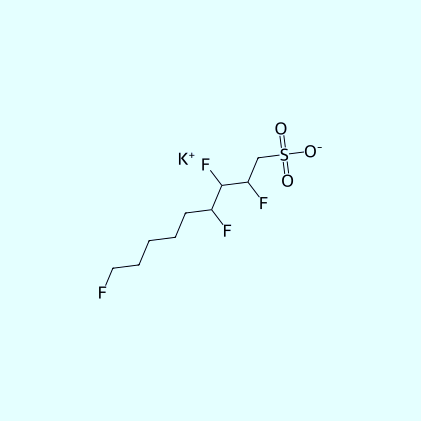 O=S(=O)([O-])CC(F)C(F)C(F)CCCCCF.[K+]